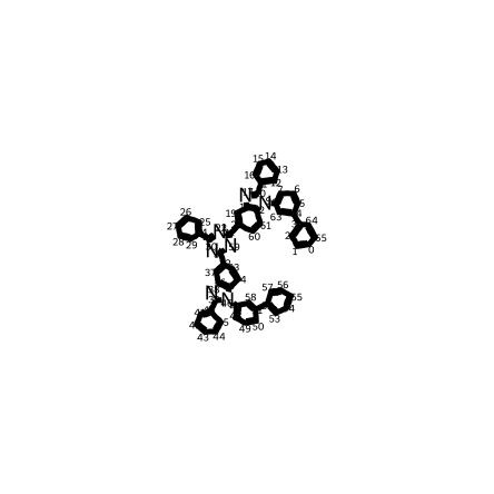 c1ccc(-c2cccc(-n3c(-c4ccccc4)nc4cc(-c5nc(-c6ccccc6)nc(-c6ccc7c(c6)nc(-c6ccccc6)n7-c6cccc(-c7ccccc7)c6)n5)ccc43)c2)cc1